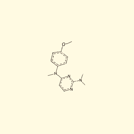 COc1ccc(N(C)c2ccnc(N(C)C)n2)cc1